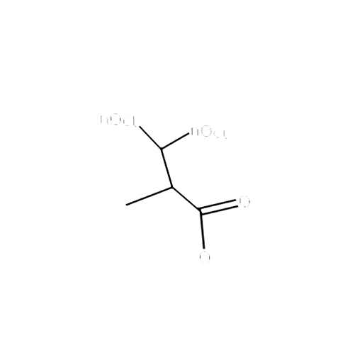 CCCCCCCCC(CCCCCCCC)C(C)C([O])=O